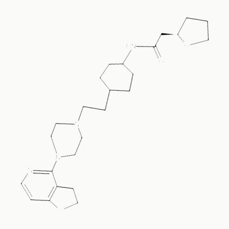 O=C(C[C@H]1CCCO1)NC1CCC(CCN2CCN(c3nccc4c3CCO4)CC2)CC1